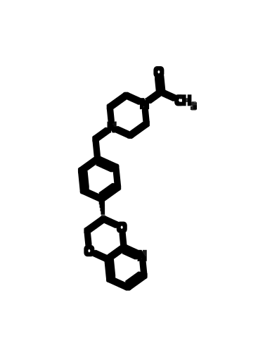 CC(=O)N1CCN(Cc2ccc([C@H]3COc4cccnc4O3)cc2)CC1